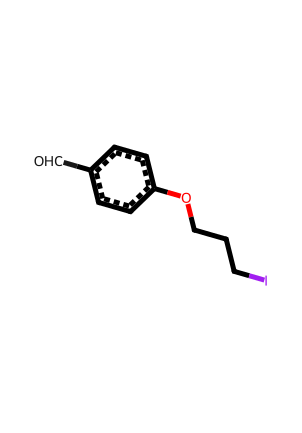 O=Cc1ccc(OCCCI)cc1